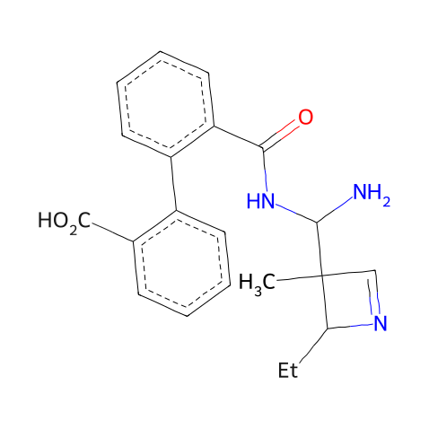 CCC1N=CC1(C)C(N)NC(=O)c1ccccc1-c1ccccc1C(=O)O